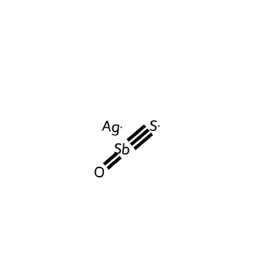 [Ag].[O]=[Sb]#[S]